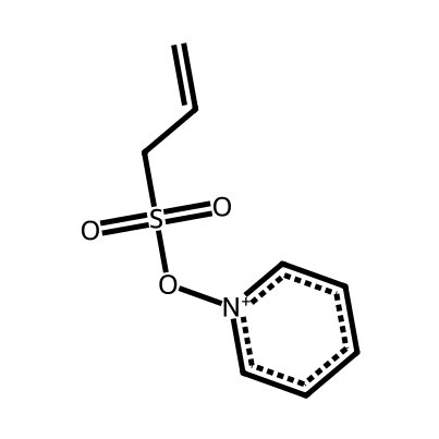 C=CCS(=O)(=O)O[n+]1ccccc1